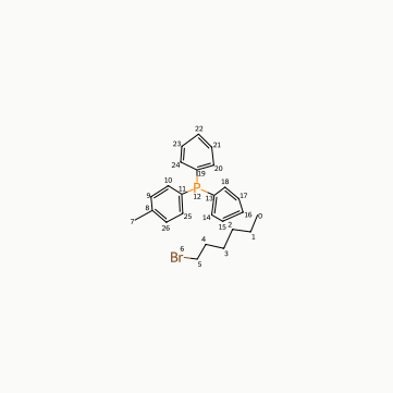 CCCCCCBr.Cc1ccc(P(c2ccccc2)c2ccccc2)cc1